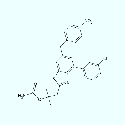 CC(C)(Cc1nc2c(-c3cccc(Cl)c3)cc(Cc3ccc([N+](=O)[O-])cc3)cc2s1)OC(N)=O